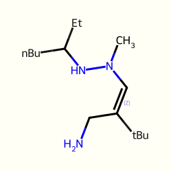 CCCCC(CC)NN(C)/C=C(\CN)C(C)(C)C